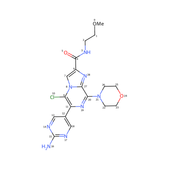 COCCNC(=O)c1cn2c(Cl)c(-c3cnc(N)nc3)nc(N3CCOCC3)c2n1